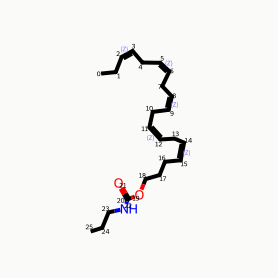 CC/C=C\C/C=C\C/C=C\C/C=C\C/C=C\CCCOC(=O)NCCC